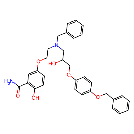 NC(=O)c1cc(OCCN(Cc2ccccc2)CC(O)COc2ccc(OCc3ccccc3)cc2)ccc1O